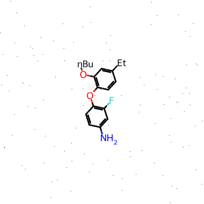 CCCCOc1cc(CC)ccc1Oc1ccc(N)cc1F